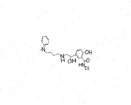 CCNC(=O)c1cc(C(O)CNCCCCN(C)c2ccccc2)ccc1O